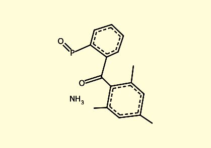 Cc1cc(C)c(C(=O)c2ccccc2P=O)c(C)c1.N